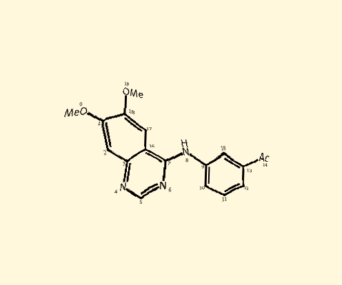 COc1cc2ncnc(Nc3cccc(C(C)=O)c3)c2cc1OC